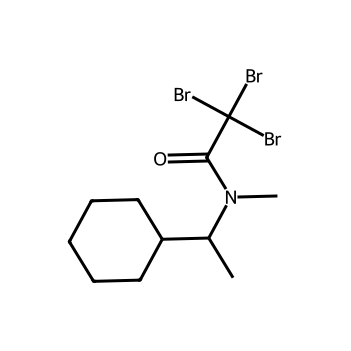 CC(C1CCCCC1)N(C)C(=O)C(Br)(Br)Br